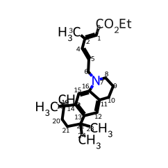 CCOC(=O)C=C(C)C=CCN1CCCc2cc3c(cc21)C(C)(C)CCC3(C)C